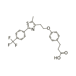 Cc1sc(-c2ccc(C(F)(F)F)cc2)nc1CCOc1ccc(CCC(=O)O)cc1